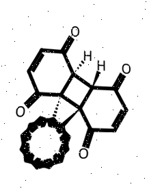 O=C1C=CC(=O)[C@@]2(c3ccccc3)[C@@H]1[C@@H]1C(=O)C=CC(=O)[C@@]12c1ccccc1